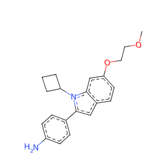 COCCOc1ccc2cc(-c3ccc(N)cc3)n(C3CCC3)c2c1